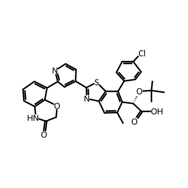 Cc1cc2nc(-c3ccnc(-c4cccc5c4OCC(=O)N5)c3)sc2c(-c2ccc(Cl)cc2)c1[C@H](OC(C)(C)C)C(=O)O